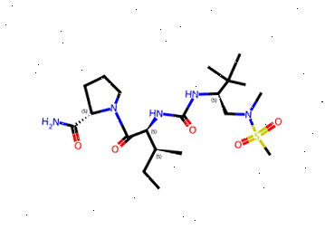 CC[C@H](C)[C@H](NC(=O)N[C@H](CN(C)S(C)(=O)=O)C(C)(C)C)C(=O)N1CCC[C@H]1C(N)=O